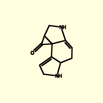 O=C1C2CNC3=CCC4NCC=C4C132